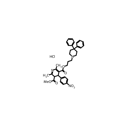 COC(=O)C1C(C)=NC(C)=C(C(=O)OCCCN2CCC(c3ccccc3)(c3ccccc3)CC2)C1c1ccc([N+](=O)[O-])cc1.Cl